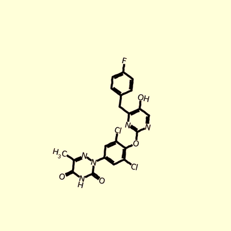 Cc1nn(-c2cc(Cl)c(Oc3ncc(O)c(Cc4ccc(F)cc4)n3)c(Cl)c2)c(=O)[nH]c1=O